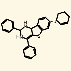 C1=C[C@H](c2ccc3c(c2)SC2=C(c4ccccc4)NC(c4ccccc4)NC23)CCC1